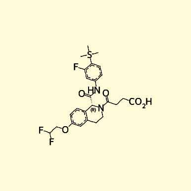 CS(C)(C)c1ccc(NC(=O)[C@H]2c3ccc(OCC(F)F)cc3CCN2C(=O)CCC(=O)O)cc1F